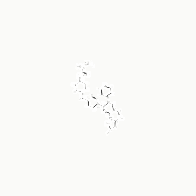 Cc1cc2ncc3cc(-c4ccccc4)c(-c4ccc(CN5CCC(OC(=O)NN)CC5)cc4)nc3n2n1